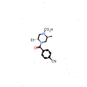 CC[C@@H]1CN(C(=O)O)[C@@H](C)CN1C(=O)c1ccc(C#N)cc1